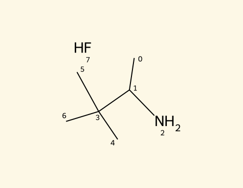 CC(N)C(C)(C)C.F